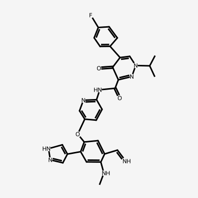 CNc1cc(-c2cn[nH]c2)c(Oc2ccc(NC(=O)c3nn(C(C)C)cc(-c4ccc(F)cc4)c3=O)nc2)cc1C=N